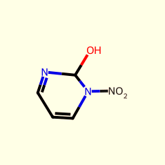 O=[N+]([O-])N1C=CC=NC1O